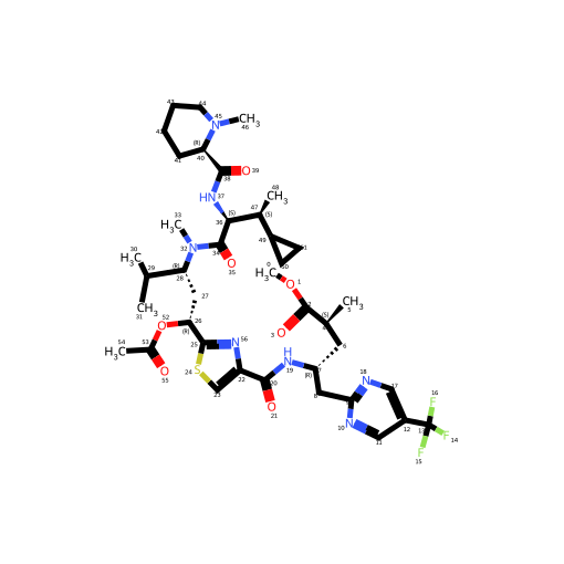 COC(=O)[C@@H](C)C[C@H](Cc1ncc(C(F)(F)F)cn1)NC(=O)c1csc([C@@H](C[C@H](C(C)C)N(C)C(=O)[C@@H](NC(=O)[C@H]2CCCCN2C)[C@@H](C)C2CC2)OC(C)=O)n1